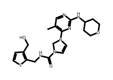 Cc1cnc(NC2CCOCC2)nc1N1C=CN(C(=O)NCc2sccc2CO)C1